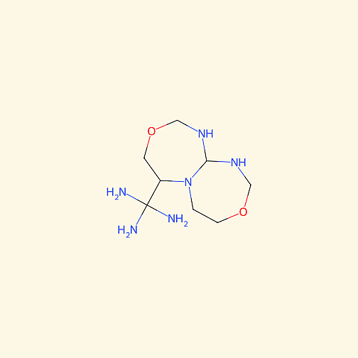 NC(N)(N)C1COCNC2NCOCCN21